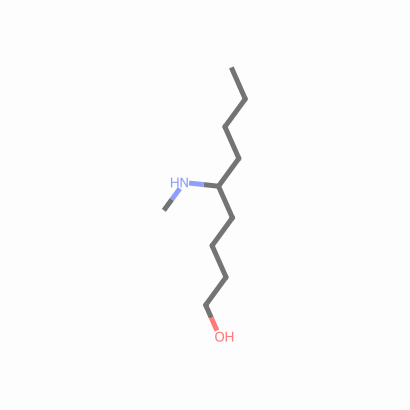 CCCCC(CCCCO)NC